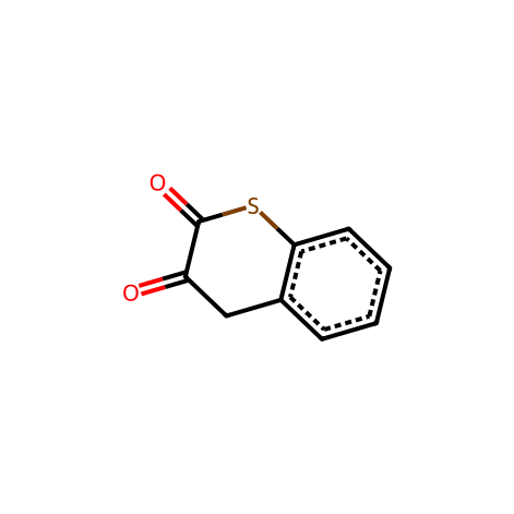 O=C1Cc2ccccc2SC1=O